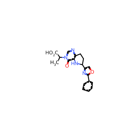 CC(C(=O)O)n1cnc2c(c1=O)NC(c1coc(-c3ccccc3)n1)CC2